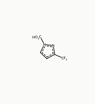 O=C(O)n1ccc(C(F)(F)F)n1